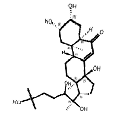 CC(C)(O)CCC(O)[C@](C)(O)[C@H]1CC[C@@]2(O)C3=CC(=O)[C@@H]4C[C@@H](O)[C@@H](O)C[C@]4(C)[C@H]3CC[C@]12C